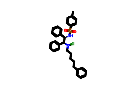 Cc1ccc(S(=O)(=O)N[C@@H](c2ccccc2)[C@H](c2ccccc2)N(Cl)CCCCCc2ccccc2)cc1